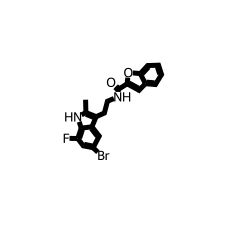 Cc1[nH]c2c(F)cc(Br)cc2c1CCNC(=O)c1cc2ccccc2o1